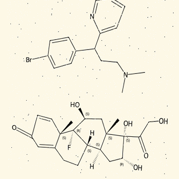 CN(C)CCC(c1ccc(Br)cc1)c1ccccn1.C[C@]12C=CC(=O)C=C1CC[C@H]1[C@@H]3C[C@@H](O)[C@](O)(C(=O)CO)[C@@]3(C)C[C@H](O)[C@@]12F